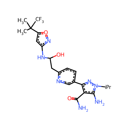 CC(C)n1nc(-c2ccc(CC(O)Nc3cc(C(C)(C)C(F)(F)F)on3)nc2)c(C(N)=O)c1N